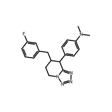 CN(C)c1ccc(C2c3nnnn3CCC2Cc2cccc(F)c2)cc1